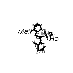 CNc1ccccc1CC(c1sccc1C)N(C)C=O.Cl.O